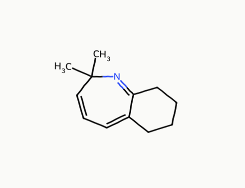 CC1(C)C=CC=C2CCCCC2=N1